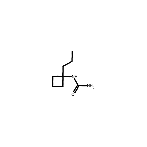 CCCC1(NC(N)=O)CCC1